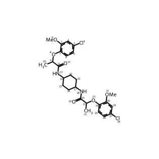 COc1cc(Cl)ccc1OC(C)C(=O)NC1CCC(NC(=O)C(C)Oc2ccc(Cl)cc2OC)CC1